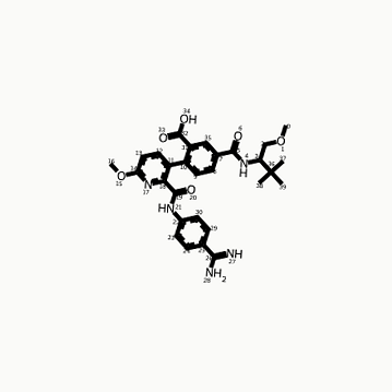 COCC(NC(=O)c1ccc(-c2ccc(OC)nc2C(=O)Nc2ccc(C(=N)N)cc2)c(C(=O)O)c1)C(C)(C)C